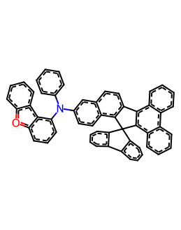 c1ccc(N(c2ccc3c4c(ccc3c2)-c2c(c3ccccc3c3ccccc23)C42c3ccccc3-c3ccccc32)c2cccc3oc4ccccc4c23)cc1